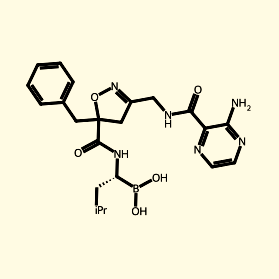 CC(C)C[C@H](NC(=O)C1(Cc2ccccc2)CC(CNC(=O)c2nccnc2N)=NO1)B(O)O